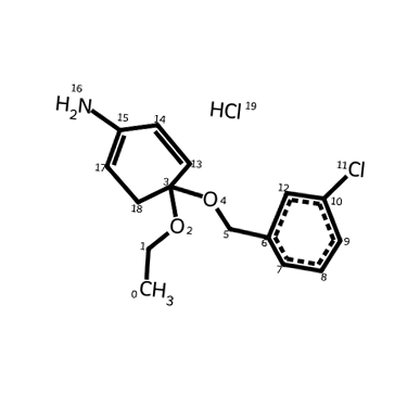 CCOC1(OCc2cccc(Cl)c2)C=CC(N)=CC1.Cl